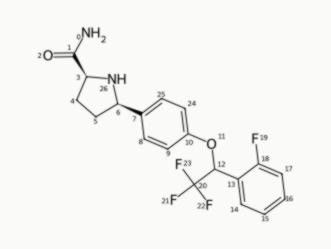 NC(=O)[C@@H]1CC[C@H](c2ccc(OC(c3ccccc3F)C(F)(F)F)cc2)N1